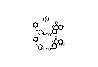 Cl.Cl.Cl.Cl.O=c1oc2cc(OCCN3CCN(Cc4ccccc4)CC3)ccc2c2ccccc12.O=c1oc2cc(OCCN3CCN(Cc4ccccc4)CC3)ccc2c2ccccc12